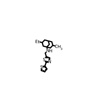 CCC1CC2CC(C)CC(NCc3cnc(-c4cccs4)s3)(C1)C2